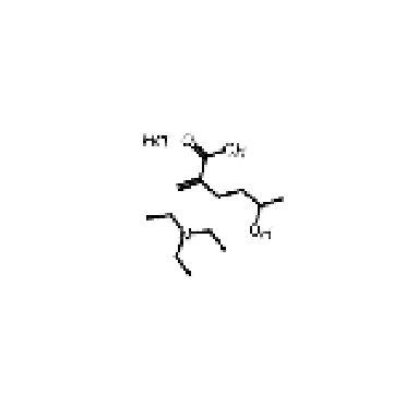 C=C(CCC(C)O)C(=O)O.CCN(CC)CC.Cl